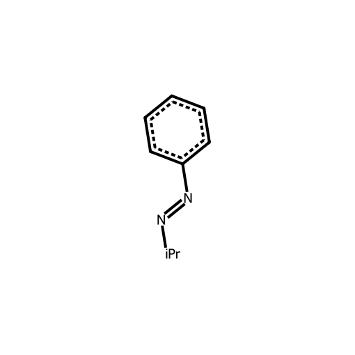 CC(C)N=Nc1ccccc1